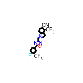 N#Cc1ccc2c(ccn2Cc2noc(-c3ccc(F)c(C(F)(F)F)c3)n2)c1C(F)(F)F